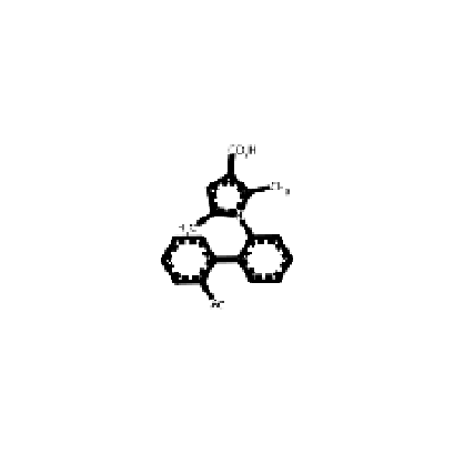 CC(=O)c1ccccc1-c1ccccc1-n1c(C)cc(C(=O)O)c1C